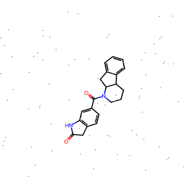 O=C1Cc2ccc(C(=O)N3CCCC4c5ccccc5CC43)cc2N1